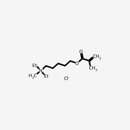 C=C(C)C(=O)OCCCCC[N+](C)(CC)CC.[Cl-]